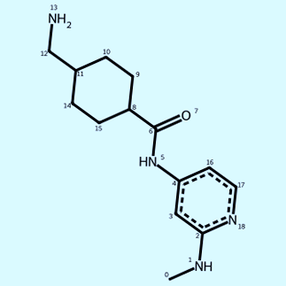 CNc1cc(NC(=O)C2CCC(CN)CC2)ccn1